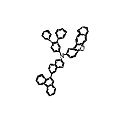 c1ccc(-c2ccc(N(c3ccc4cc(-c5cc6ccccc6c6ccccc56)ccc4c3)c3ccc4oc5cc6ccccc6cc5c4c3)cc2-c2ccccc2)cc1